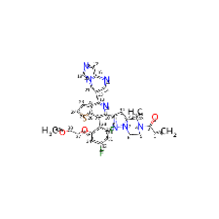 C=CC(=O)N1CCn2nc(-c3nc(-c4cnc5cncn5c4)c4ccsc4c3-c3c(F)cc(F)cc3OCCOC)cc2C1C